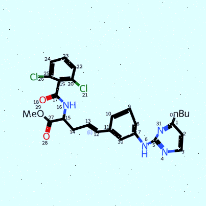 CCCCc1ccnc(Nc2cccc(/C=C/CC(NC(=O)c3c(Cl)cccc3Cl)C(=O)OC)c2)n1